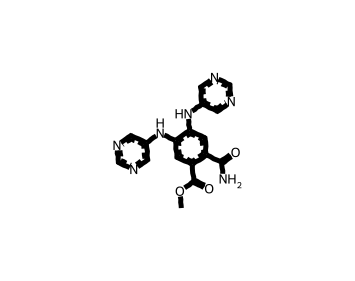 COC(=O)c1cc(Nc2cncnc2)c(Nc2cncnc2)cc1C(N)=O